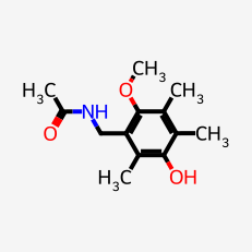 COc1c(C)c(C)c(O)c(C)c1CNC(C)=O